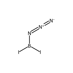 [N-]=[N+]=NB(I)I